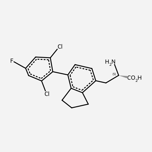 N[C@@H](Cc1ccc(-c2c(Cl)cc(F)cc2Cl)c2c1CCC2)C(=O)O